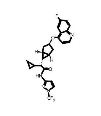 O=C(Nc1ccn(C(F)(F)F)n1)C(C1CC1)[C@@H]1[C@@H]2C[C@@H](Oc3ccnc4ccc(F)cc34)C[C@@H]21